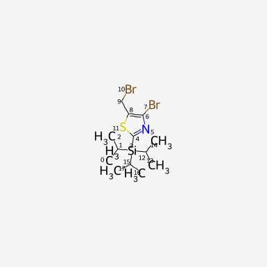 CC(C)[Si](c1nc(Br)c(CBr)s1)(C(C)C)C(C)C